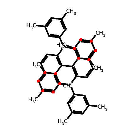 Cc1cc(C)cc(P(c2cc(C)cc(C)c2)c2ccc3cccc(C)c3c2-c2c(P(c3cc(C)cc(C)c3)c3cc(C)cc(C)c3)ccc3cccc(C)c23)c1